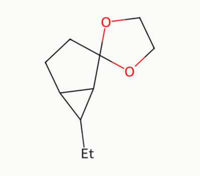 CCC1C2CCC3(OCCO3)C12